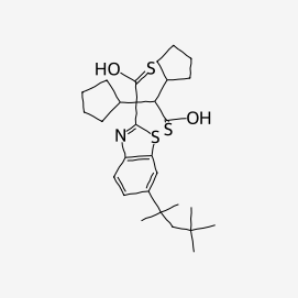 CC(C)(C)CC(C)(C)c1ccc2nc(C(C(O)=S)(C3CCCC3)C(C(O)=S)C3CCCC3)sc2c1